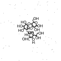 O=C[C@H](O)[C@@H](O)[C@H](O)[C@H](O)CO.OC[C@H]1O[C@@H](O[C@H]2[C@H](O)[C@@H](O)[C@H](O)O[C@@H]2CO)[C@H](O)[C@@H](O)[C@H]1O